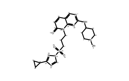 CC(C)N1CCC(Nc2ncc3ccc(=O)n(CCCS(=O)(=O)n4cnc(C5CC5)n4)c3n2)CC1